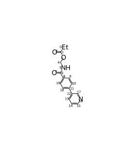 CCC(=O)OCNC(=O)c1ccc(-c2cccnc2)cc1